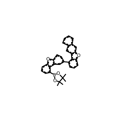 CC1(C)OB(c2cccc3oc4ccc(-c5cccc6oc7cc8ccccc8cc7c56)cc4c23)OC1(C)C